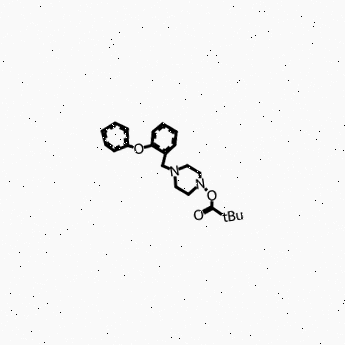 CC(C)(C)C(=O)ON1CCN(Cc2ccccc2Oc2ccccc2)CC1